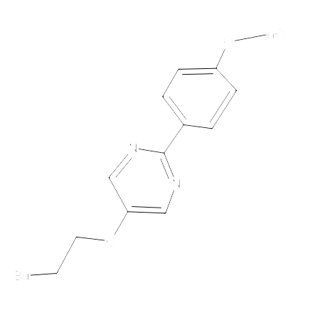 CCCCCCCCOc1ccc(-c2ncc(OCCC(C)CC)cn2)cc1